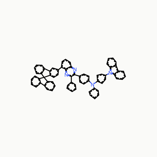 c1ccc(-c2nc3c(-c4ccc5c(c4)-c4ccccc4C54c5ccccc5-c5ccccc54)cccc3nc2-c2ccc(N(c3ccccc3)c3ccc(-n4c5ccccc5c5ccccc54)cc3)cc2)cc1